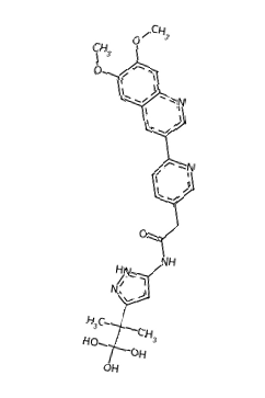 COc1cc2cc(-c3ccc(CC(=O)Nc4cc(C(C)(C)C(O)(O)O)n[nH]4)cn3)cnc2cc1OC